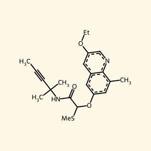 CC#CC(C)(C)NC(=O)C(Oc1cc(C)c2ncc(OCC)cc2c1)SC